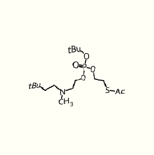 CC(=O)SCCOP(=O)(OCCN(C)CCC(C)(C)C)OC(C)(C)C